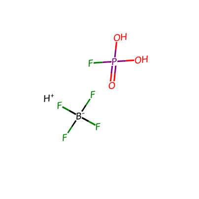 F[B-](F)(F)F.O=P(O)(O)F.[H+]